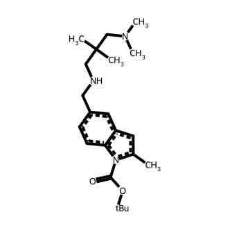 Cc1cc2cc(CNCC(C)(C)CN(C)C)ccc2n1C(=O)OC(C)(C)C